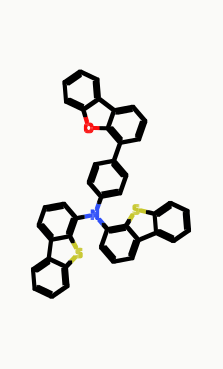 c1ccc2c(c1)oc1c(-c3ccc(N(c4cccc5c4sc4ccccc45)c4cccc5c4sc4ccccc45)cc3)cccc12